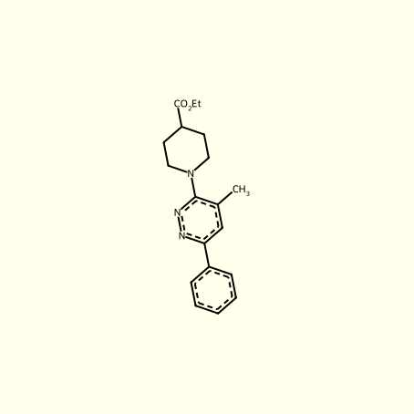 CCOC(=O)C1CCN(c2nnc(-c3ccccc3)cc2C)CC1